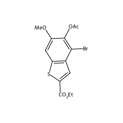 CCOC(=O)c1cc2c(Br)c(OC(C)=O)c(OC)cc2s1